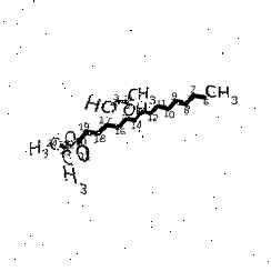 CC(O)CO.CCCCCCCCCCCCCCCC(=O)OC(C)C